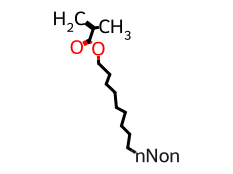 C=C(C)C(=O)OCCCCCCCCCCCCCCCCCC